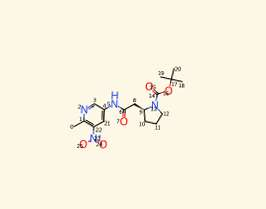 Cc1ncc(NC(=O)C[C@@H]2CCCN2C(=O)OC(C)(C)C)cc1[N+](=O)[O-]